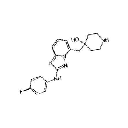 OC1(Cc2cccc3nc(Nc4ccc(F)cc4)nn23)CCNCC1